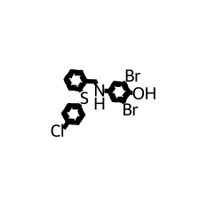 Oc1c(Br)cc(NCc2ccccc2Sc2ccc(Cl)cc2)cc1Br